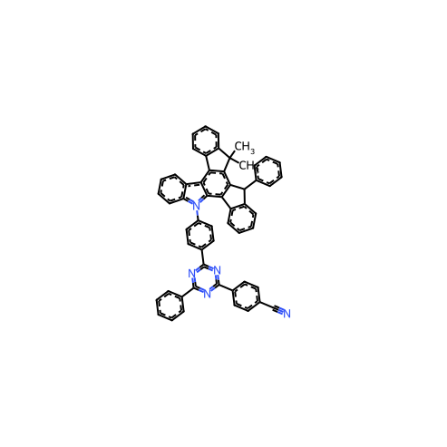 CC1(C)c2ccccc2-c2c1c1c(c3c2c2ccccc2n3-c2ccc(-c3nc(-c4ccccc4)nc(-c4ccc(C#N)cc4)n3)cc2)-c2ccccc2C1c1ccccc1